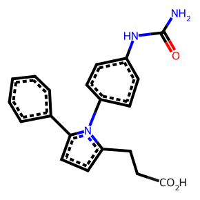 NC(=O)Nc1ccc(-n2c(CCC(=O)O)ccc2-c2ccccc2)cc1